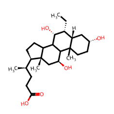 CC[C@H]1[C@@H](O)C2C([C@@H](O)C[C@@]3(C)C2CC[C@@H]3[C@H](C)CCC(=O)O)C2(C)CC[C@@H](O)C[C@@H]12